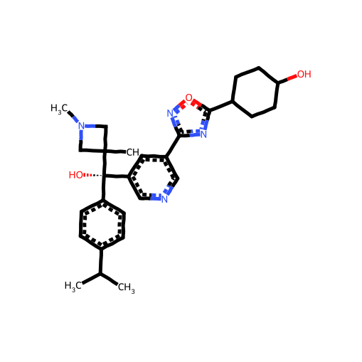 CC(C)c1ccc([C@](O)(c2cncc(-c3noc(C4CCC(O)CC4)n3)c2)C2(C)CN(C)C2)cc1